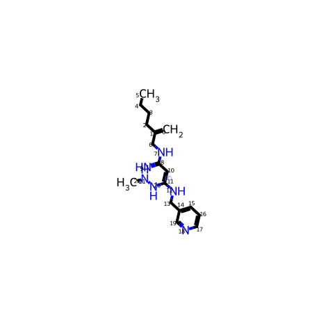 C=C(CCCC)CNC(=N)/C=C(/NCc1cccnc1)NNC